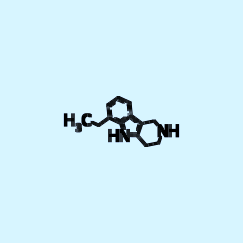 CCc1cccc2c3c([nH]c12)CCNC3